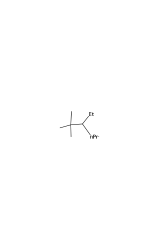 CC[CH]C(CC)C(C)(C)C